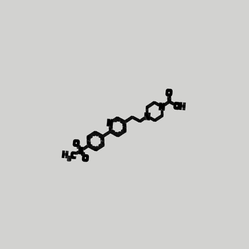 CS(=O)(=O)c1ccc(-c2ccc(CCN3CCN(C(=O)O)CC3)cn2)cc1